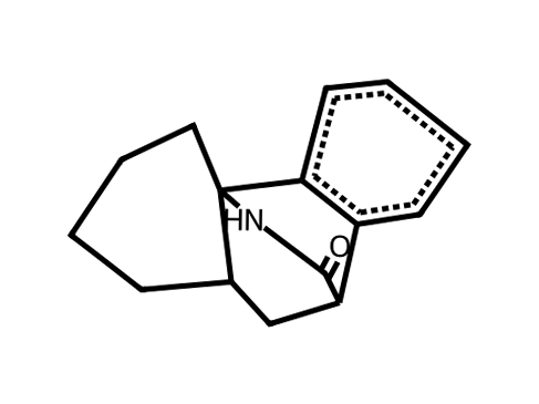 O=C1NC23CCCCC2CC1c1ccccc13